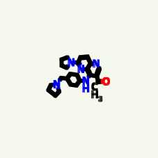 CC(=O)c1cnc2ccc(N3CCCC3)nc2c1NC1CCC(CN2CCCC2)CC1